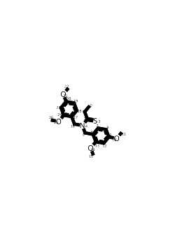 CCC(=S)N(Cc1ccc(OC)cc1OC)Cc1ccc(OC)cc1OC